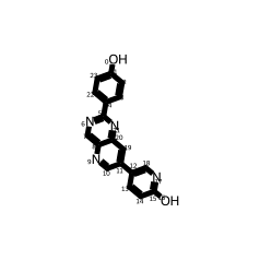 Oc1ccc(-c2ncc3ncc(-c4ccc(O)nc4)cc3n2)cc1